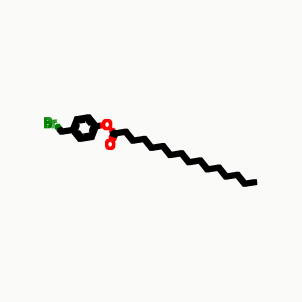 CCCCCCCCCCCCCCCC(=O)Oc1ccc(CBr)cc1